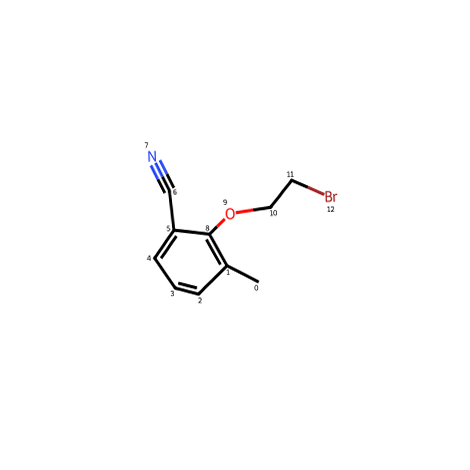 Cc1cccc(C#N)c1OCCBr